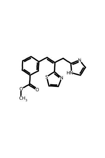 COC(=O)c1cccc(C=C(Cc2ncc[nH]2)c2nccs2)c1